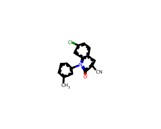 Cc1cccc(-n2c(=O)c(C#N)cc3ccc(Cl)cc32)c1